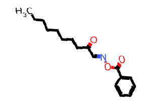 CCCCCCCCC(=O)C=NOC(=O)c1ccccc1